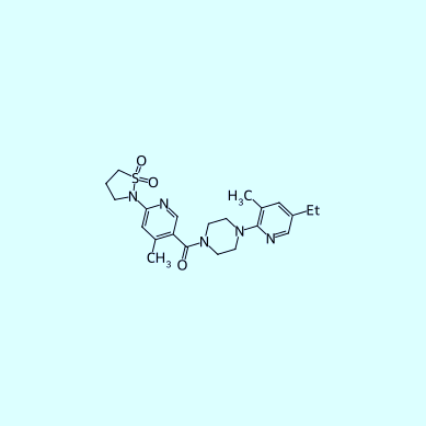 CCc1cnc(N2CCN(C(=O)c3cnc(N4CCCS4(=O)=O)cc3C)CC2)c(C)c1